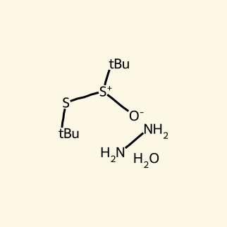 CC(C)(C)S[S+]([O-])C(C)(C)C.NN.O